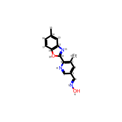 CCc1cc(/C=N/O)cnc1-c1nc2cc(C)ccc2o1